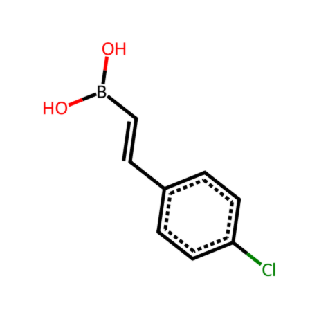 OB(O)C=Cc1ccc(Cl)cc1